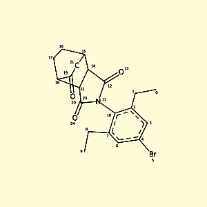 CCc1cc(Br)cc(CC)c1N1C(=O)C2C3CCC(C(=O)C3)C2C1=O